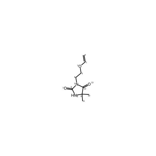 C=COCCN1C(=O)NC(C)(C)C1=O